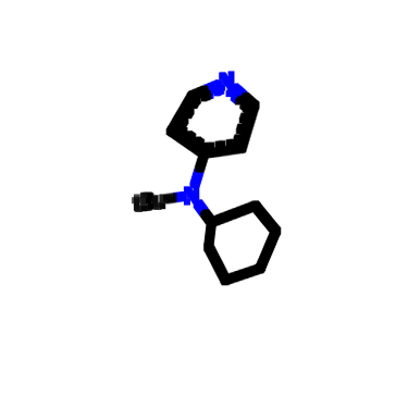 CC(C)(C)N(c1ccncc1)C1CCCCC1